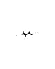 CCC(C#N)=C(C(=O)O)C(=O)CO